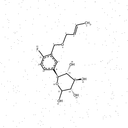 C/C=C/COCc1cc([C@@H]2OC(O)[C@@H](O)[C@H](O)[C@H]2O)ccc1F